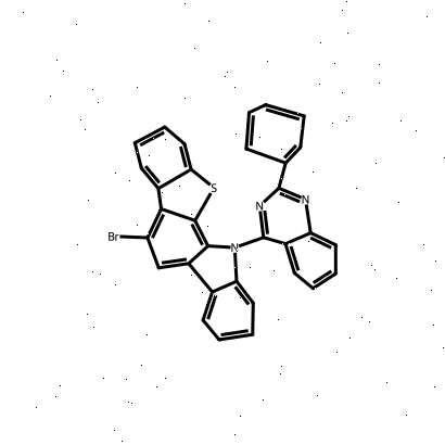 Brc1cc2c3ccccc3n(-c3nc(-c4ccccc4)nc4ccccc34)c2c2sc3ccccc3c12